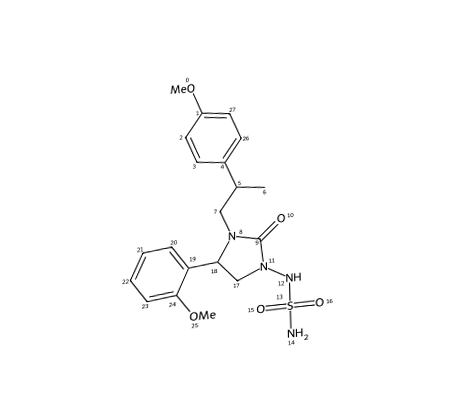 COc1ccc(C(C)CN2C(=O)N(NS(N)(=O)=O)CC2c2ccccc2OC)cc1